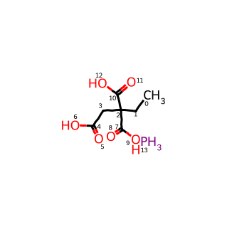 CCC(CC(=O)O)(C(=O)O)C(=O)O.P